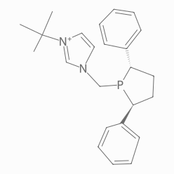 CC(C)(C)[n+]1ccn(CP2[C@H](c3ccccc3)CC[C@H]2c2ccccc2)c1